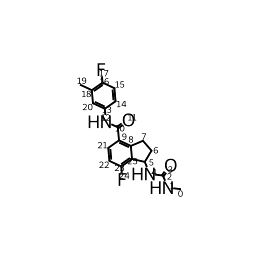 CNC(=O)NC1CCc2c(C(=O)Nc3ccc(F)c(C)c3)ccc(F)c21